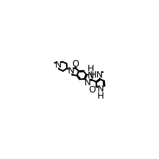 CNc1cc[nH]c(=O)c1-c1nc2cc3c(cc2[nH]1)C(=O)N(C1CCN(C)CC1)C3